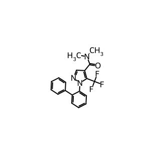 CN(C)C(=O)c1cnn(-c2ccccc2-c2ccccc2)c1C(F)(F)F